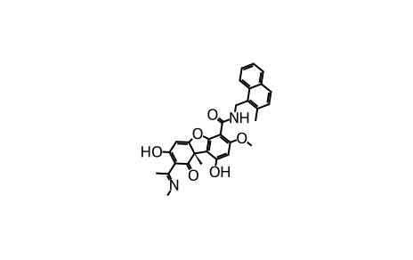 CN=C(C)C1=C(O)C=C2Oc3c(C(=O)NCc4c(C)ccc5ccccc45)c(OC)cc(O)c3[C@]2(C)C1=O